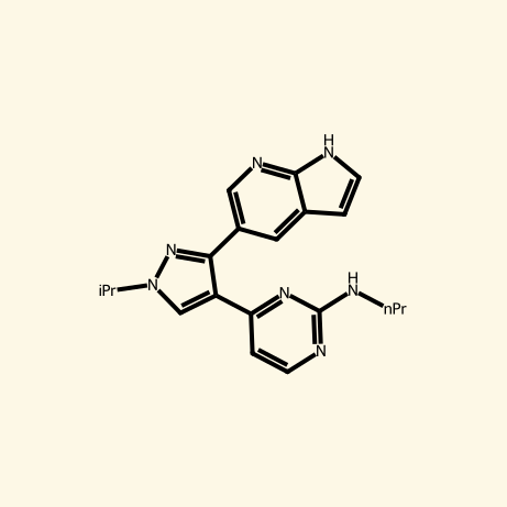 CCCNc1nccc(-c2cn(C(C)C)nc2-c2cnc3[nH]ccc3c2)n1